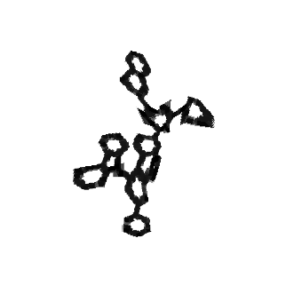 c1ccc(-c2cc(-n3c4ccccc4c4ccccc43)c3c(c2)oc2cc(-c4nc(-c5ccccc5)nc(-c5ccc6ccccc6c5)n4)ccc23)cc1